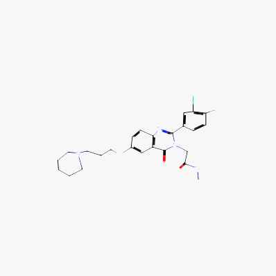 CC(C)NC(=O)Cn1c(-c2ccc(F)c(F)c2)nc2ccc(OCCCN3CCCCC3)cc2c1=O